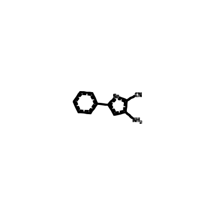 N#Cc1[se]c(-c2ccccc2)cc1N